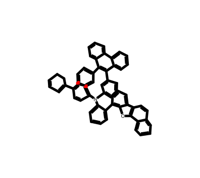 C1=CCCC(c2ccc(N(c3cccc(-c4c(-c5ccccc5)c5ccccc5c5ccccc45)c3)c3ccccc3-c3cccc4c3oc3c5ccccc5ccc43)cc2)=C1